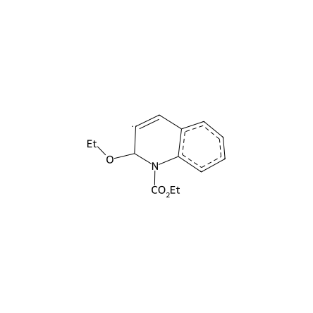 CCOC(=O)N1c2ccccc2C=[C]C1OCC